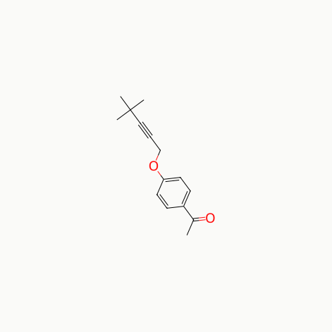 CC(=O)c1ccc(OCC#CC(C)(C)C)cc1